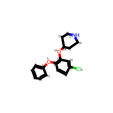 Clc1ccc(Oc2ccccc2)c(OC2CCNCC2)c1